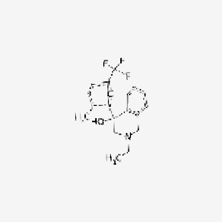 CCN1Cc2ccccc2C(O)(c2cc(C(F)(F)F)ccc2C)C1